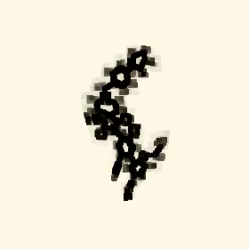 C#Cc1cc(N2C(=O)NC3(CCN(Cc4ccc(N5CCCC5)cc4)CC3)C2=O)c(Cl)cc1-c1cc(C#N)ccc1OCC